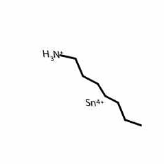 CCCCCCC[NH3+].[Sn+4]